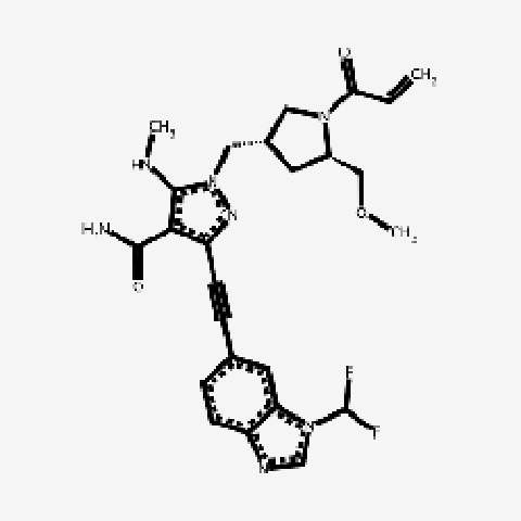 C=CC(=O)N1C[C@@H](Cn2nc(C#Cc3ccc4ncn(C(F)F)c4c3)c(C(N)=O)c2NC)C[C@@H]1COC